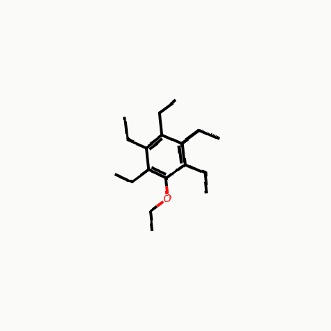 CCOc1c(CC)c(CC)c(CC)c(CC)c1CC